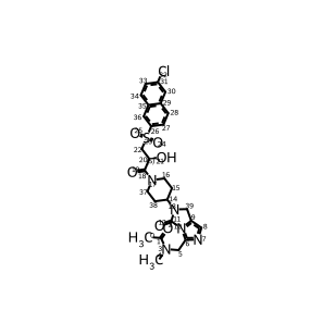 CC(=O)N(C)Cc1ncc2n1C(=O)N(C1CCN(C(=O)[C@H](O)CS(=O)(=O)c3ccc4cc(Cl)ccc4c3)CC1)C2